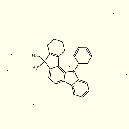 CC1(C)C2=C(CCCC2)c2c1ccc1c3ccccc3n(-c3ccccc3)c21